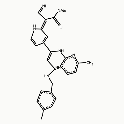 CNC(=O)/C(C=N)=C1C=C(/C(=C/C(=N)NCc2ccc(F)cc2)Nc2cccc(C)n2)C=CN\1